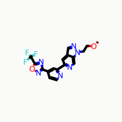 COCCn1ncc2cc(-c3cc(-c4noc(C(F)(F)F)n4)ccn3)ncc21